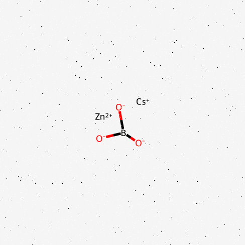 [Cs+].[O-]B([O-])[O-].[Zn+2]